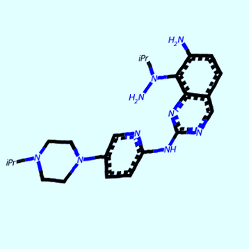 CC(C)N1CCN(c2ccc(Nc3ncc4ccc(N)c(N(N)C(C)C)c4n3)nc2)CC1